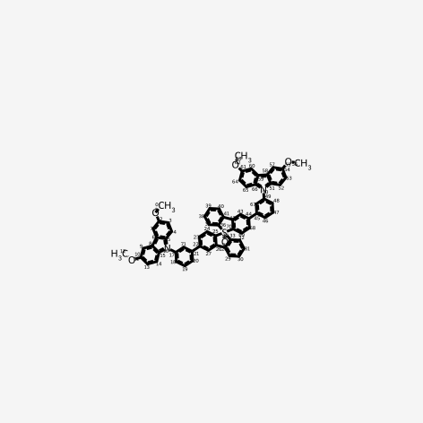 COc1ccc2c(c1)c1cc(OC)ccc1n2-c1cccc(-c2ccc3c(c2)-c2ccccc2S32(=O)c3ccccc3-c3cc(-c4cccc(-n5c6ccc(OC)cc6c6cc(OC)ccc65)c4)ccc32)c1